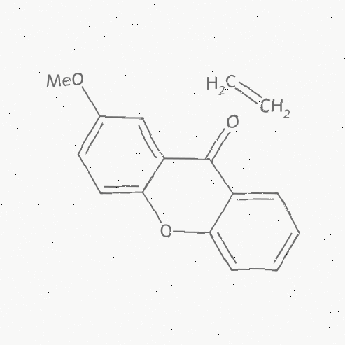 C=C.COc1ccc2oc3ccccc3c(=O)c2c1